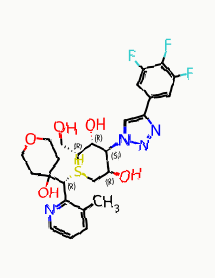 Cc1cccnc1[C@@H]([SH]1C[C@H](O)[C@H](n2cc(-c3cc(F)c(F)c(F)c3)nn2)[C@@H](O)[C@H]1CO)C1(O)CCOCC1